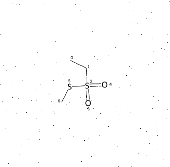 CCS(=O)(=O)SC